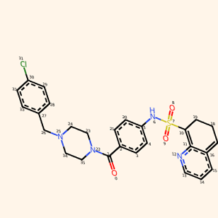 O=C(c1ccc(NS(=O)(=O)C2=c3ncccc3=CCC2)cc1)N1CCN(Cc2ccc(Cl)cc2)CC1